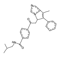 CC1=C(c2ccccc2)C(CC(=O)c2ccc(C(=O)NCC(C)C)cc2)n2cncc21